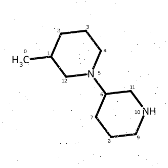 CC1CCCN(C2CCCNC2)C1